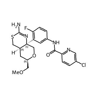 COC[C@H]1C[C@H]2CSC(N)=N[C@@]2(c2cc(NC(=O)c3ccc(Cl)cn3)ccc2F)CO1